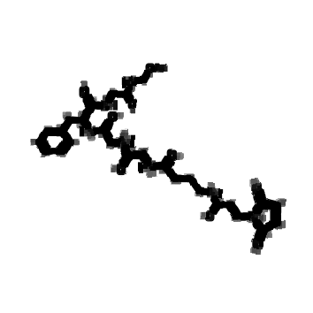 CC(=O)OCNC(=O)CNC(=O)[C@H](Cc1ccccc1)NC(=O)CNC(=O)CNC(=O)CCCNC(=O)CCN1C(=O)C=CC1=O